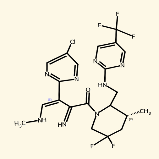 CN/C=C(\C(=N)C(=O)N1CC(F)(F)C[C@@H](C)C1CNc1ncc(C(F)(F)F)cn1)c1ncc(Cl)cn1